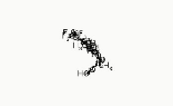 CN(CCCOCCO)C(=O)COc1ccc2c(c1)CC[C@@H]1[C@@H]2CC[C@]2(C)[C@@H](OCCCOC(C(F)(F)F)(C(F)(F)F)C(F)(F)F)CC[C@@H]12